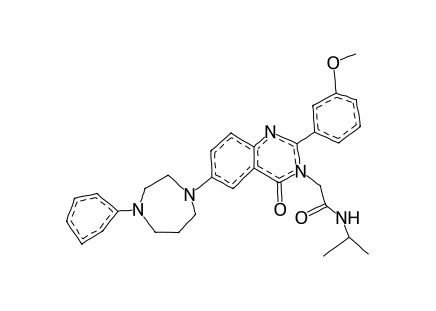 COc1cccc(-c2nc3ccc(N4CCCN(c5ccccc5)CC4)cc3c(=O)n2CC(=O)NC(C)C)c1